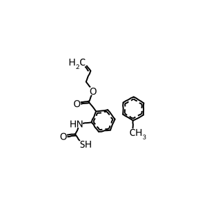 C=CCOC(=O)c1ccccc1NC(=O)S.Cc1ccccc1